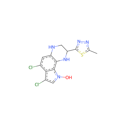 Cc1nnc(C2CNc3cc(Cl)c4c(Cl)cn(O)c4c3N2)s1